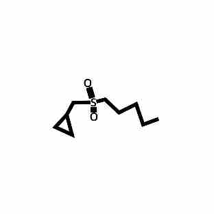 CCCCCS(=O)(=O)CC1CC1